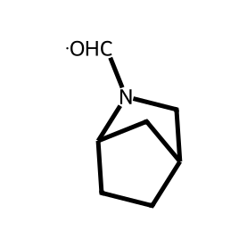 O=[C]N1CC2CCC1C2